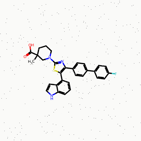 CC1(C(=O)O)CCCN(c2nc(-c3ccc(-c4ccc(F)cc4)cc3)c(-c3cccc4[nH]ccc34)s2)C1